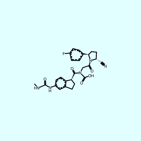 CNC(=O)Nc1ccc2c(c1)CC[C@@H]2C(=O)N(CC(=O)N1[C@@H](c2ccc(F)cc2)CC[C@@H]1C#N)C(=O)O